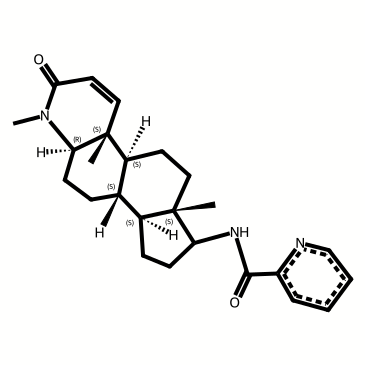 CN1C(=O)C=C[C@]2(C)[C@H]3CC[C@]4(C)C(NC(=O)c5ccccn5)CC[C@H]4[C@@H]3CC[C@@H]12